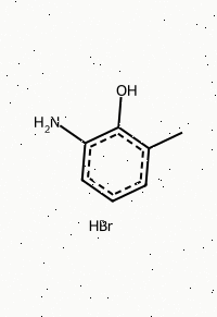 Br.Cc1cccc(N)c1O